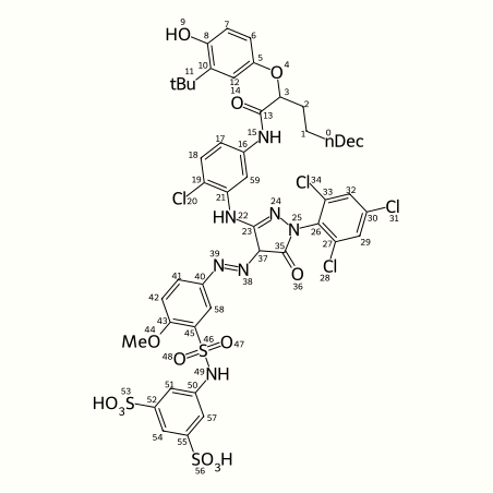 CCCCCCCCCCCCC(Oc1ccc(O)c(C(C)(C)C)c1)C(=O)Nc1ccc(Cl)c(NC2=NN(c3c(Cl)cc(Cl)cc3Cl)C(=O)C2N=Nc2ccc(OC)c(S(=O)(=O)Nc3cc(S(=O)(=O)O)cc(S(=O)(=O)O)c3)c2)c1